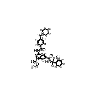 CC(C)OC(=O)n1nc(NC(=O)c2ccc(CN3CCCCC3)cc2)c2cc(C(=O)NC(C)(C)c3ccccc3Cl)sc21